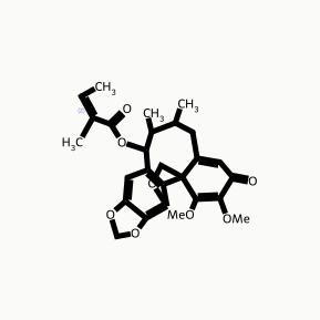 C/C=C(/C)C(=O)OC1c2cc3c(c4c2C2(CO4)C(=CC(=O)C(OC)=C2OC)CC(C)C1C)OCO3